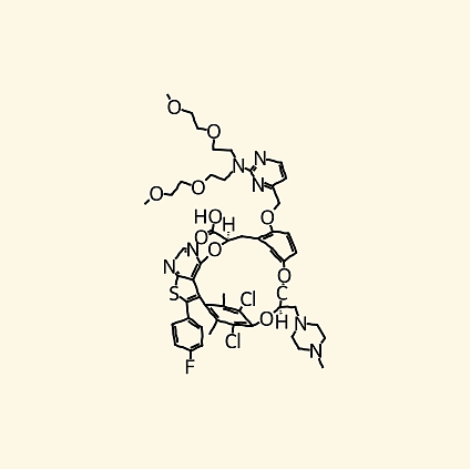 COCCOCCN(CCOCCOC)c1nccc(COc2ccc3cc2C[C@H](C(=O)O)Oc2ncnc4sc(-c5ccc(F)cc5)c(c24)-c2c(C)c(Cl)c(c(Cl)c2C)O[C@H](CN2CCN(C)CC2)CO3)n1